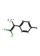 Cc1ccc(C(=C(F)F)C(F)(F)F)cc1